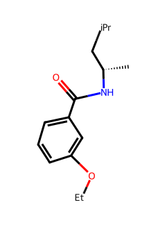 CCOc1cccc(C(=O)N[C@@H](C)CC(C)C)c1